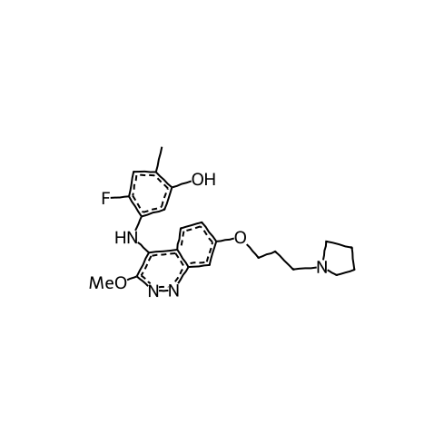 COc1nnc2cc(OCCCN3CCCC3)ccc2c1Nc1cc(O)c(C)cc1F